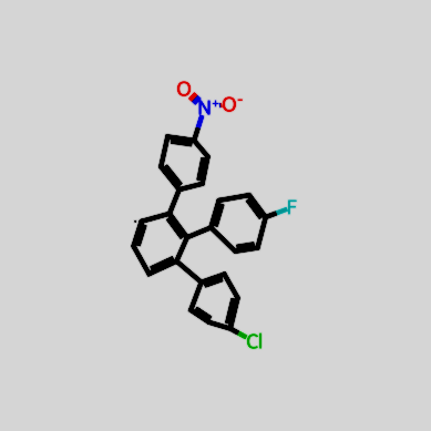 O=[N+]([O-])c1ccc(-c2[c]ccc(-c3ccc(Cl)cc3)c2-c2ccc(F)cc2)cc1